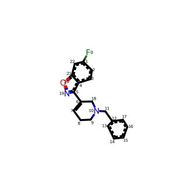 Fc1ccc2c(C3=CCCN(Cc4ccccc4)C3)noc2c1